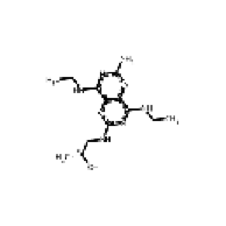 CCNc1nc(NC[C@@H](C)O)nc2c(NCC)nc(N)nc12